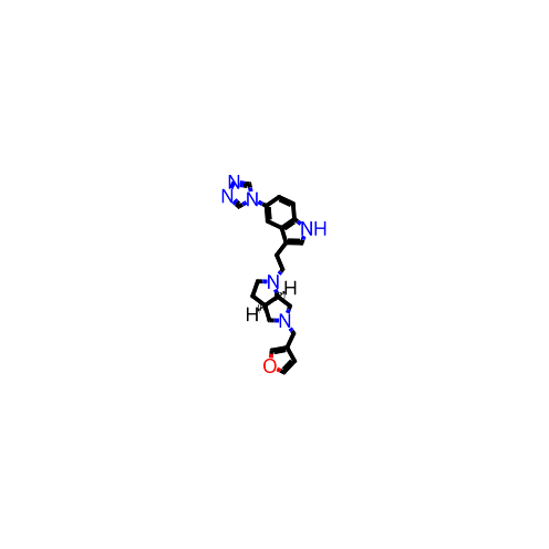 c1cc(CN2C[C@H]3CCN(CCc4c[nH]c5ccc(-n6cnnc6)cc45)[C@H]3C2)co1